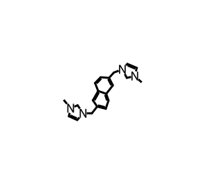 CN1C=CN(Cc2ccc3cc(CN4C=CN(C)C4)ccc3c2)C1